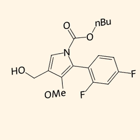 CCCCOC(=O)n1cc(CO)c(OC)c1-c1ccc(F)cc1F